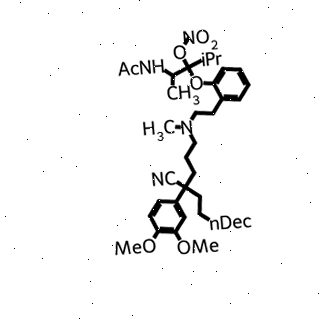 CCCCCCCCCCCCC(C#N)(CCCN(C)CCc1ccccc1OC(O[N+](=O)[O-])(C(C)C)C(C)NC(C)=O)c1ccc(OC)c(OC)c1